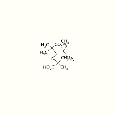 CC(C)(N=NC(C)(C)C(=O)O)C(=O)O.CCCC#N